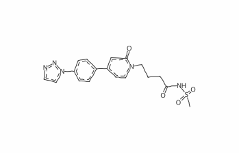 CS(=O)(=O)NC(=O)CCCn1ccc(-c2ccc(-n3ccnn3)cc2)cc1=O